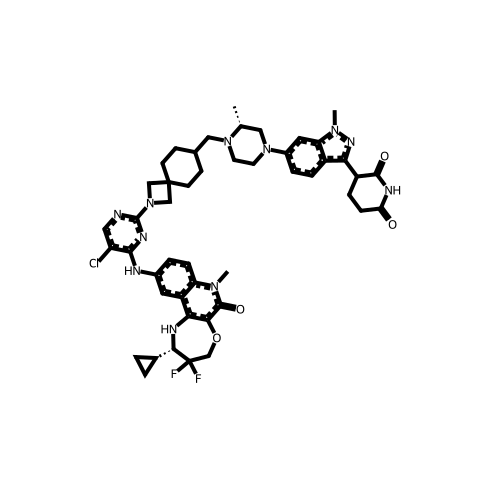 C[C@@H]1CN(c2ccc3c(C4CCC(=O)NC4=O)nn(C)c3c2)CCN1CC1CCC2(CC1)CN(c1ncc(Cl)c(Nc3ccc4c(c3)c3c(c(=O)n4C)OCC(F)(F)[C@H](C4CC4)N3)n1)C2